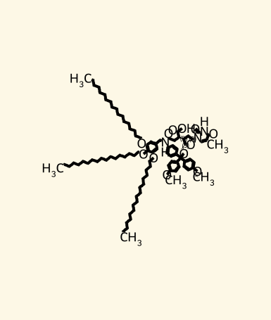 CCCCCCCCCCCCCCCCCCOc1cc(CNC(=O)CC(C(=O)O)[C@H]2C[C@H](n3cc(C)c(=O)[nH]c3=O)O[C@@H]2COC(c2ccccc2)(c2ccc(OC)cc2)c2ccc(OC)cc2)cc(OCCCCCCCCCCCCCCCCCC)c1OCCCCCCCCCCCCCCCCCC